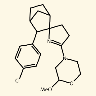 COC1CN(C2=NC3(CC2)C2CCC(C2)C3c2ccc(Cl)cc2)CCO1